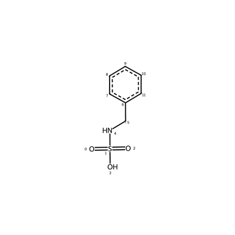 O=S(=O)(O)N[CH]c1ccccc1